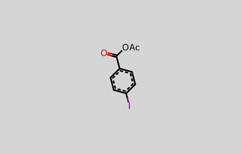 CC(=O)OC(=O)c1ccc(I)cc1